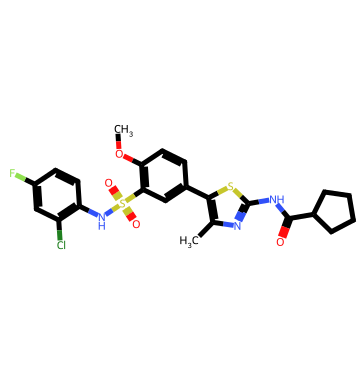 COc1ccc(-c2sc(NC(=O)C3CCCC3)nc2C)cc1S(=O)(=O)Nc1ccc(F)cc1Cl